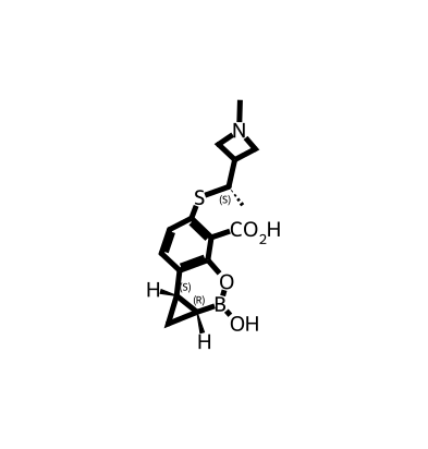 C[C@H](Sc1ccc2c(c1C(=O)O)OB(O)[C@@H]1C[C@H]21)C1CN(C)C1